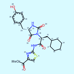 COC(=O)c1csc(NC(=O)[C@H](CC2CCCCC2)N2C(=O)N[C@@H](Cc3ccc(O)cc3)C2=O)n1